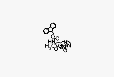 C[C@@](CCCn1ccnc1[N+](=O)[O-])(NC(=O)OCC1c2ccccc2-c2ccccc21)C(=O)O